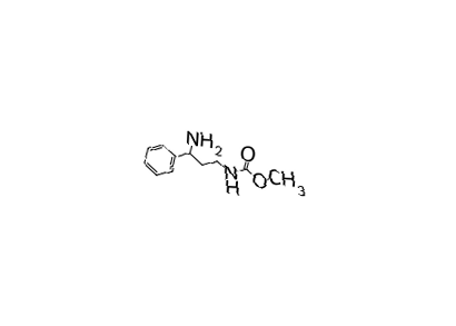 COC(=O)NCCC(N)c1ccccc1